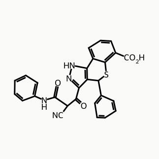 N#CC(C(=O)Nc1ccccc1)C(=O)c1n[nH]c2c1C(c1ccccc1)Sc1c(C(=O)O)cccc1-2